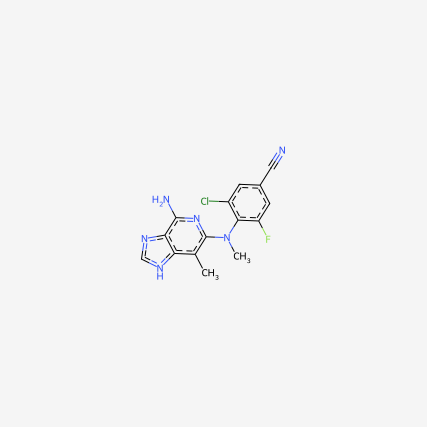 Cc1c(N(C)c2c(F)cc(C#N)cc2Cl)nc(N)c2nc[nH]c12